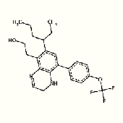 CCCC(CC)c1cc(-c2ccc(OC(F)(F)F)cc2)c2c(c1CCO)N=CCN2